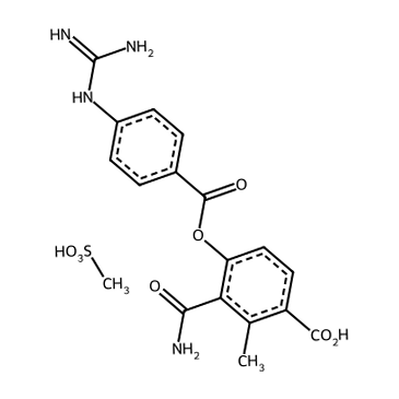 CS(=O)(=O)O.Cc1c(C(=O)O)ccc(OC(=O)c2ccc(NC(=N)N)cc2)c1C(N)=O